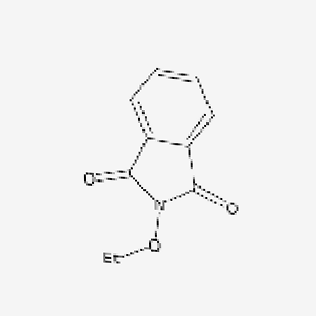 [CH2]CON1C(=O)c2ccccc2C1=O